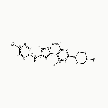 COc1cc(N2CCN(C(C)C)CC2)cc(F)c1-c1cc(Nc2cnc(C#N)cn2)n[nH]1